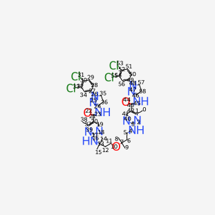 Cc1nc(NCCC(C)(C)OCCC(C)(C)Nc2ncc(C(=O)NC3=NN(c4ccc(Cl)c(Cl)c4)CC3)c(C)n2)ncc1C(=O)NC1=NN(c2ccc(Cl)c(Cl)c2)CC1